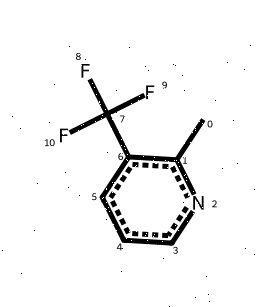 Cc1ncc[c]c1C(F)(F)F